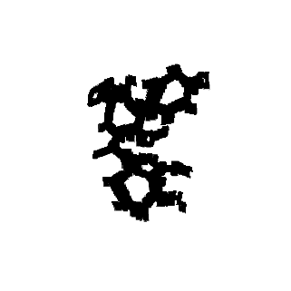 COc1c(C(C)c2nc(Br)c3c(N)nccn23)cc(Cl)c(C)c1-c1ccc(Cl)cc1